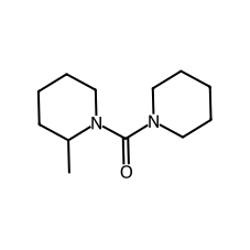 CC1CCCCN1C(=O)N1CCCCC1